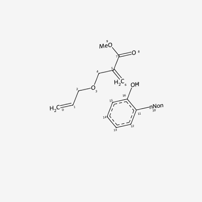 C=CCOCC(=C)C(=O)OC.CCCCCCCCCc1ccccc1O